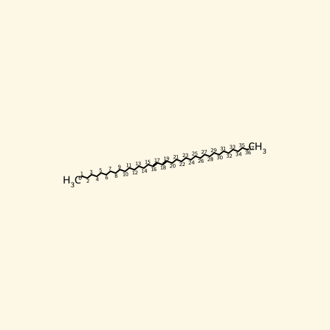 CCCCCCCCCCCCCCCCC=CC=CCCCCCCCCCCCCCCCCCC